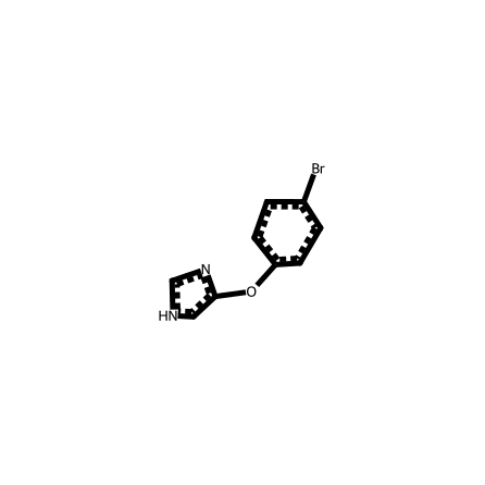 Brc1ccc(Oc2c[nH]cn2)cc1